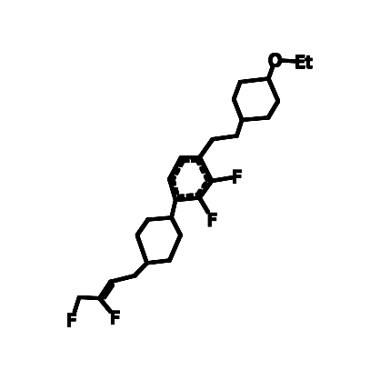 CCOC1CCC(CCc2ccc(C3CCC(C/C=C(\F)CF)CC3)c(F)c2F)CC1